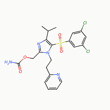 CC(C)c1nc(COC(N)=O)n(CCc2ccccn2)c1S(=O)(=O)c1cc(Cl)cc(Cl)c1